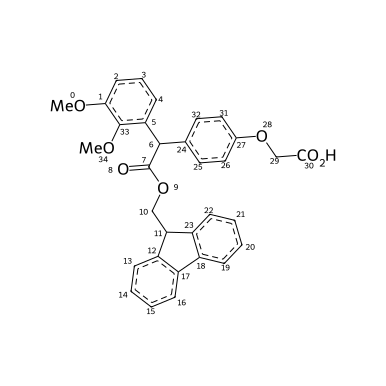 COc1cccc(C(C(=O)OCC2c3ccccc3-c3ccccc32)c2ccc(OCC(=O)O)cc2)c1OC